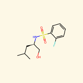 CC(C)C[C@H](CO)NS(=O)(=O)c1ccccc1F